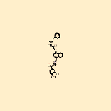 CC(CCc1ccccc1)NC(=O)COc1ccc(/C=N/NC(=O)c2ccc(O)c(Cl)c2)c2ccccc12